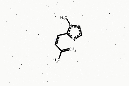 C=C(C)/C=C\c1nccn1C